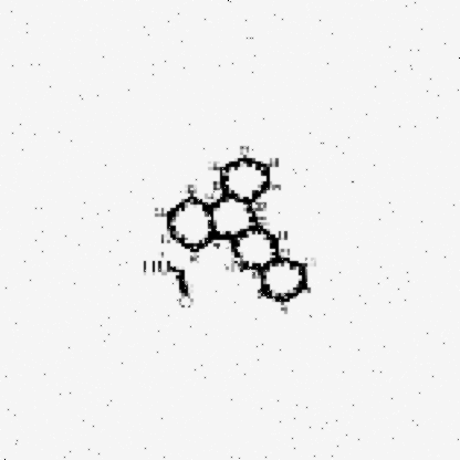 O=CO.c1ccc2nc3c4ccccc4c4ccccc4c3cc2c1